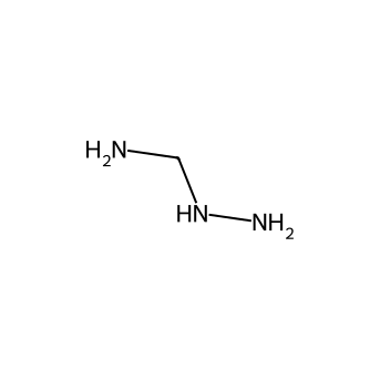 NCNN